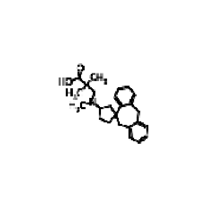 CN(CC(C)(C)C(=O)O)C1CCC2(Cc3ccccc3Cc3ccccc32)C1